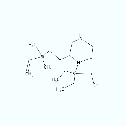 C=C[Si](C)(C)CCC1CNCCN1[Si](CC)(CC)CC